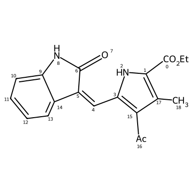 CCOC(=O)c1[nH]c(C=C2C(=O)Nc3ccccc32)c(C(C)=O)c1C